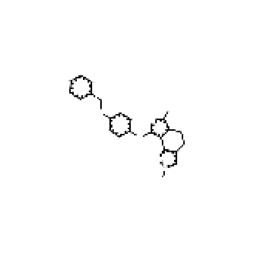 Cn1cc2c(n1)-c1c(Oc3ccc(OCc4ccccc4)cc3)sc(C(=O)O)c1CC2